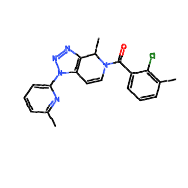 Cc1cccc(-n2nnc3c2C=CN(C(=O)c2cccc(C)c2Cl)C3C)n1